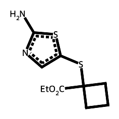 CCOC(=O)C1(Sc2cnc(N)s2)CCC1